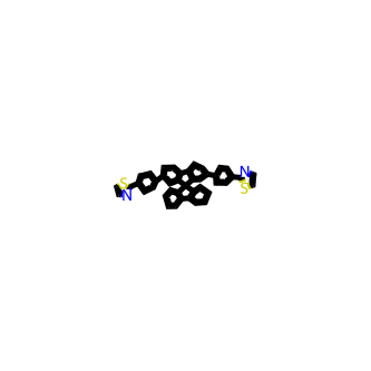 c1ccc2c(c1)-c1ccccc1C21c2cc(-c3ccc(-c4nccs4)cc3)ccc2-c2ccc(-c3ccc(-c4nccs4)cc3)cc21